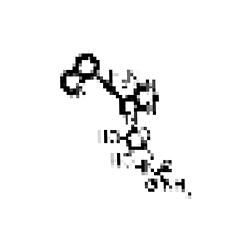 Nc1ncnc2c1c(C#Cc1cccc3cccnc13)cn2[C@@H]1O[C@H](CNS(N)(=O)=O)[C@@H](O)[C@H]1O